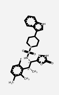 Cc1ccc(F)c([C@@H](C)[C@H](NS(=O)(=O)N2CCC(c3c[nH]c4ccccc34)CC2)c2n[nH]c(=O)o2)c1C